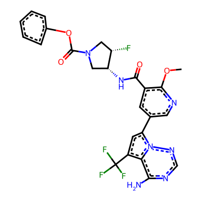 COc1ncc(-c2cc(C(F)(F)F)c3c(N)ncnn23)cc1C(=O)N[C@@H]1CN(C(=O)Oc2ccccc2)C[C@@H]1F